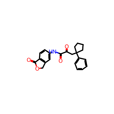 O=C(CC1(c2ccccc2)CCCC1)C(=O)Nc1ccc2c(c1)COC2=O